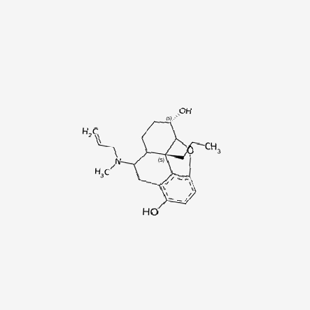 C=CCN(C)C1Cc2c(O)ccc3c2[C@]2(CCC)C1CC[C@H](O)C2O3